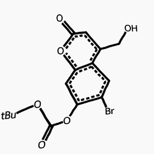 CC(C)(C)OC(=O)Oc1cc2oc(=O)cc(CO)c2cc1Br